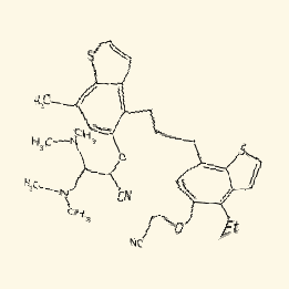 CCc1c(OCC#N)cc(CCCc2c(OC(C#N)C(N(C)C)N(C)C)cc(C)c3sccc23)c2sccc12